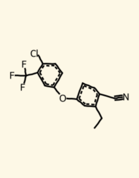 CCc1cc(Oc2ccc(Cl)c(C(F)(F)F)c2)ccc1C#N